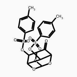 Cc1ccc(S(=O)(=O)OC2C3OC4OC(C3=O)C(OS(=O)(=O)c3ccc(C)cc3)C2O4)cc1